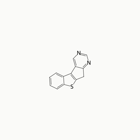 c1ccc2c3c(sc2c1)Cc1ncncc1-3